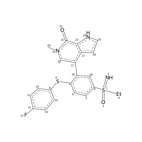 CCS(=N)(=O)c1ccc(Sc2ccc(F)cc2)c(-c2cn(C)c(=O)c3[nH]ccc23)c1